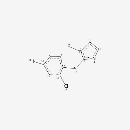 Cn1ccnc1Sc1ccc(I)cc1Cl